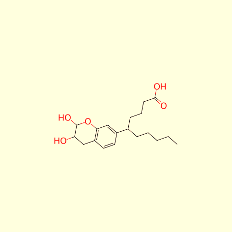 CCCCCC(CCCC(=O)O)c1ccc2c(c1)OC(O)C(O)C2